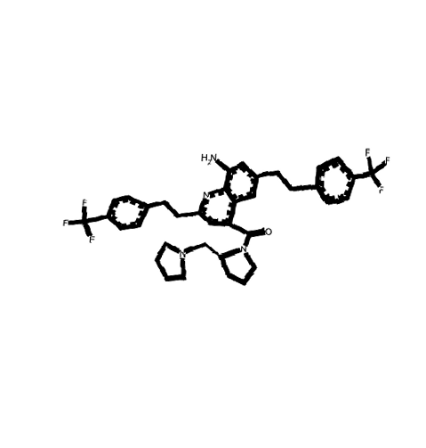 Nc1cc(CCc2ccc(C(F)(F)F)cc2)cc2c(C(=O)N3CCC[C@H]3CN3CCCC3)cc(CCc3ccc(C(F)(F)F)cc3)nc12